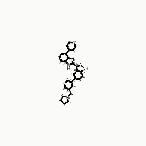 c1cc(-c2ccncc2)c2nc(-c3n[nH]c4ccc(-c5cncc(CN6CCCC6)c5)cc34)[nH]c2c1